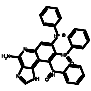 Nc1nc2cc([PH](=O)c3ccccc3)c([PH](=O)c3ccccc3)c([PH](=O)c3ccccc3)c2c2[nH]cnc12